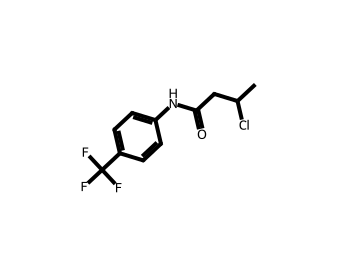 CC(Cl)CC(=O)Nc1ccc(C(F)(F)F)cc1